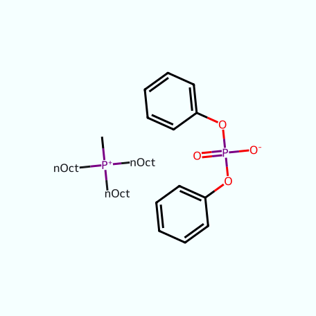 CCCCCCCC[P+](C)(CCCCCCCC)CCCCCCCC.O=P([O-])(Oc1ccccc1)Oc1ccccc1